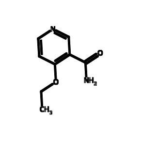 CCOc1ccncc1C(N)=O